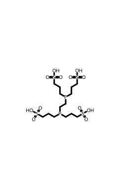 O=S(=O)(O)CCCP(CCCS(=O)(=O)O)CCP(CCCS(=O)(=O)O)CCCS(=O)(=O)O